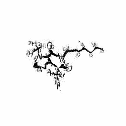 [2H]C([2H])([2H])n1cnc2c1c(=O)n(CCCCCC)c(=O)n2C([2H])([2H])[2H]